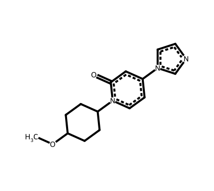 COC1CCC(n2ccc(-n3ccnc3)cc2=O)CC1